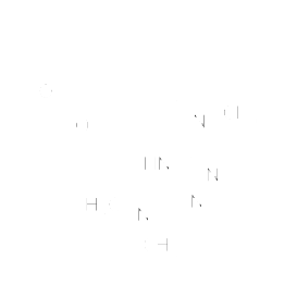 CN(C)c1nnc(N(C)CCc2cccc3c2OCO3)[nH]1